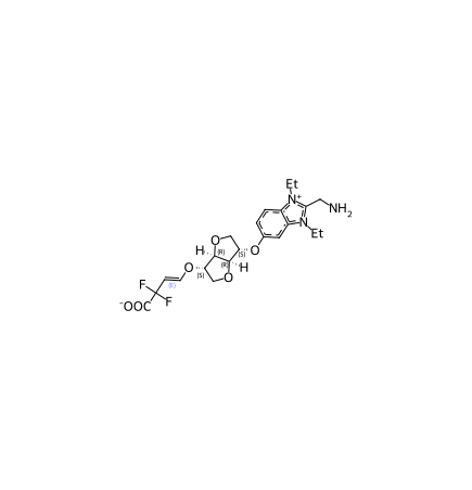 CCn1c(CN)[n+](CC)c2ccc(O[C@H]3CO[C@H]4[C@@H]3OC[C@@H]4O/C=C/C(F)(F)C(=O)[O-])cc21